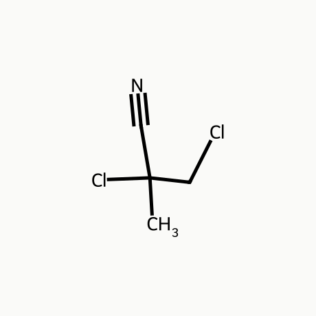 CC(Cl)(C#N)CCl